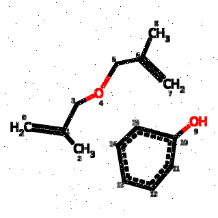 C=C(C)COCC(=C)C.Oc1ccccc1